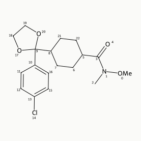 CON(C)C(=O)C1CCC(C2(c3ccc(Cl)cc3)OCCO2)CC1